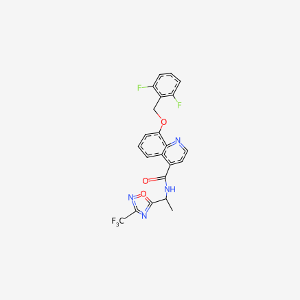 CC(NC(=O)c1ccnc2c(OCc3c(F)cccc3F)cccc12)c1nc(C(F)(F)F)no1